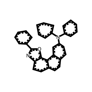 c1ccc(-c2nc3ccc4ccc5ccc(N(c6ccccc6)c6ccccc6)cc5c4c3o2)cc1